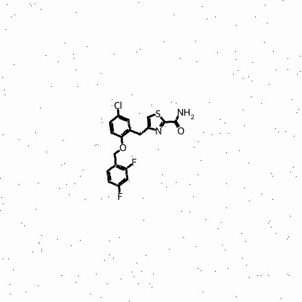 NC(=O)c1nc(Cc2cc(Cl)ccc2OCc2ccc(F)cc2F)cs1